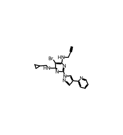 C#CCNc1nc(-n2cc(-c3ccccn3)cn2)nc(NCC2CC2)c1Br